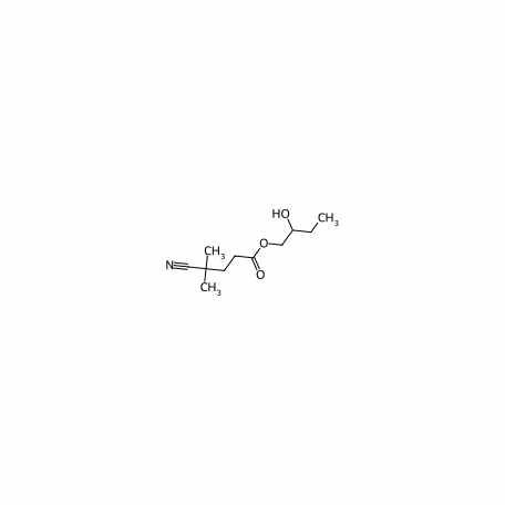 CCC(O)COC(=O)CCC(C)(C)C#N